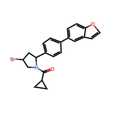 O=C(C1CC1)N1CC(Br)[CH]C1c1ccc(-c2ccc3occc3c2)cc1